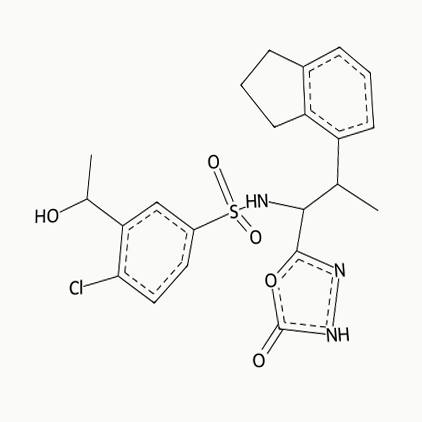 CC(O)c1cc(S(=O)(=O)NC(c2n[nH]c(=O)o2)C(C)c2cccc3c2CCC3)ccc1Cl